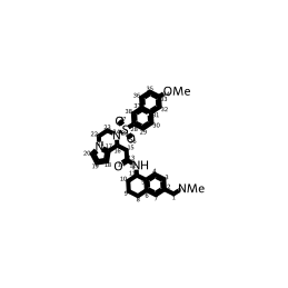 CNCc1ccc2c(c1)CCCC2NC(=O)CC1c2cccn2CCN1S(=O)(=O)c1ccc2cc(OC)ccc2c1